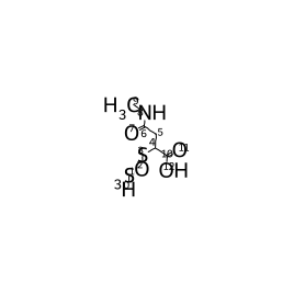 [3H]SOSC(CC(=O)NC)C(=O)O